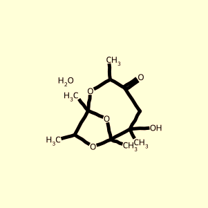 CC1OC2(C)OC(C)(OC2C)C(C)(O)CC1=O.O